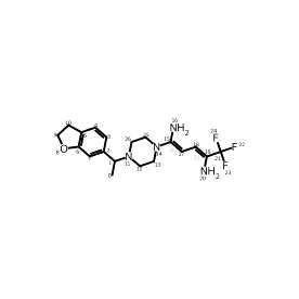 CC(c1ccc2c(c1)OCC2)N1CCN(/C(N)=C/C=C(\N)C(F)(F)F)CC1